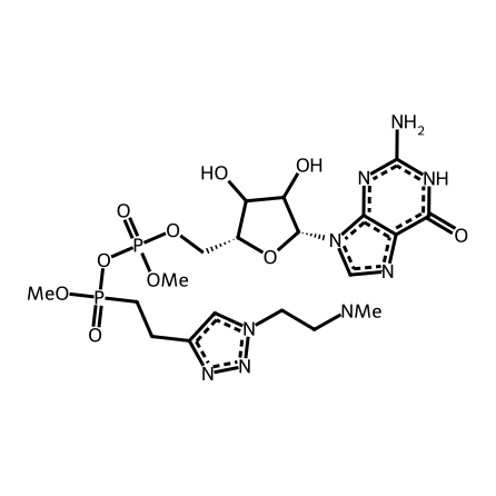 CNCCn1cc(CCP(=O)(OC)OP(=O)(OC)OC[C@H]2O[C@@H](n3cnc4c(=O)[nH]c(N)nc43)C(O)C2O)nn1